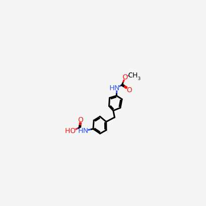 COC(=O)Nc1ccc(Cc2ccc(NC(=O)O)cc2)cc1